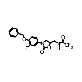 O=C1OC(CNC(=O)C(F)(F)F)CN1c1ccc(OCc2ccccc2)c(F)c1